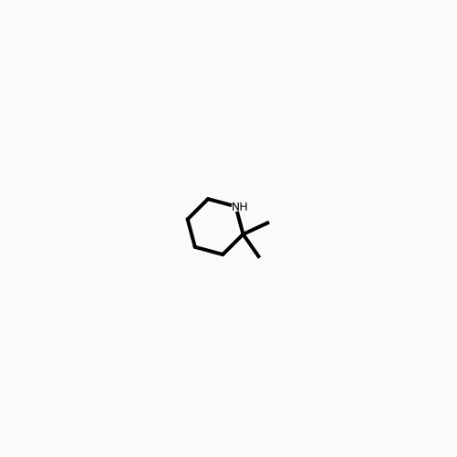 CC1(C)CCCCN1